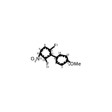 COc1ccc(-c2c(F)ccc([N+](=O)[O-])c2F)cc1